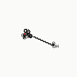 CCCCCCCCCCCCCCCC(=O)O.CC[C@]12CCCN3CCc4c(n(c5ccccc45)[C@@](O)(C(=O)OC)C1)[C@@H]32